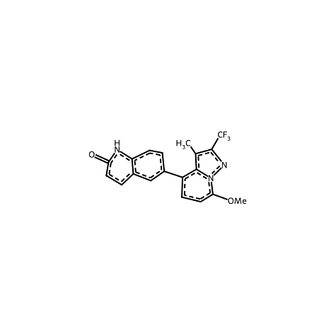 COc1ccc(-c2ccc3[nH]c(=O)ccc3c2)c2c(C)c(C(F)(F)F)nn12